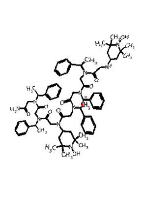 CC(c1ccccc1)N(CC(N)=O)C(=O)CN(C(=O)CN(C(=O)CN(C(=O)CN(C(=O)CN(C(=O)CNC1CC(C)(C)N(O)C(C)(C)C1)C(C)c1ccccc1)[C@H](C)c1ccccc1)C(C)c1ccccc1)C1CC(C)(C)N(O)C(C)(C)C1)C(C)c1ccccc1